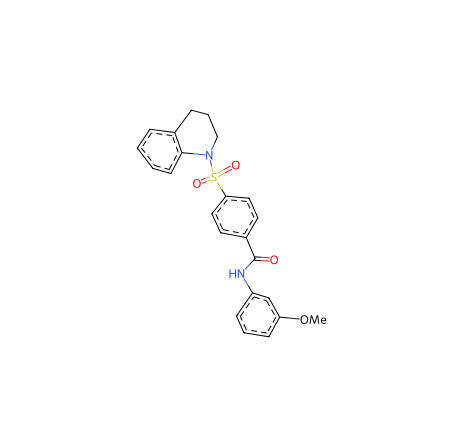 COc1cccc(NC(=O)c2ccc(S(=O)(=O)N3CCCc4ccccc43)cc2)c1